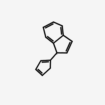 C1=CCC([C]2C=Cc3ccccc32)=C1